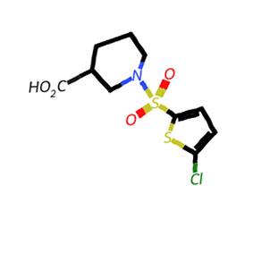 O=C(O)C1CCCN(S(=O)(=O)c2ccc(Cl)s2)C1